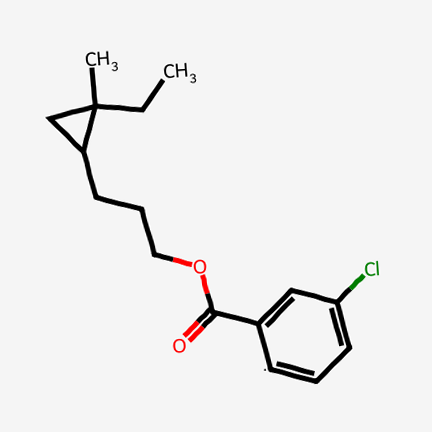 CCC1(C)CC1CCCOC(=O)c1[c]ccc(Cl)c1